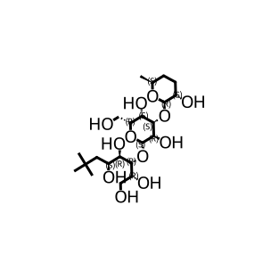 C[C@H]1CC[C@H](O)[C@@H](O[C@H]2[C@@H](O)[C@@H](CO)O[C@@H](O[C@@H]([C@H](O)[C@@H](O)CC(C)(C)C)[C@H](O)CO)[C@@H]2O)O1